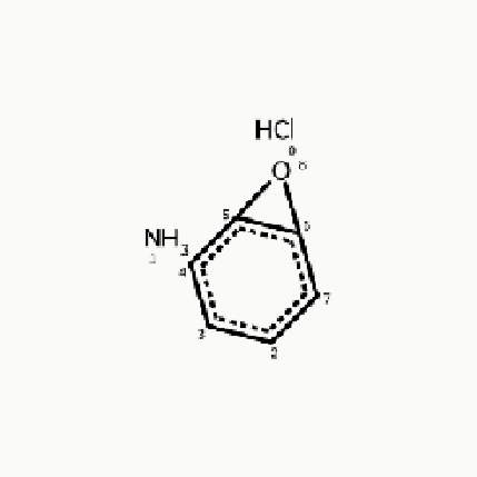 Cl.N.c1ccc2c(c1)O2